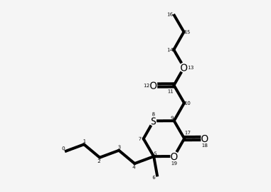 CCCCCC1(C)CSC(CC(=O)OCCC)C(=O)O1